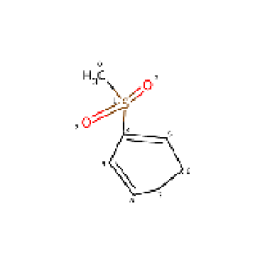 CS(=O)(=O)C1=C[CH]CC=C1